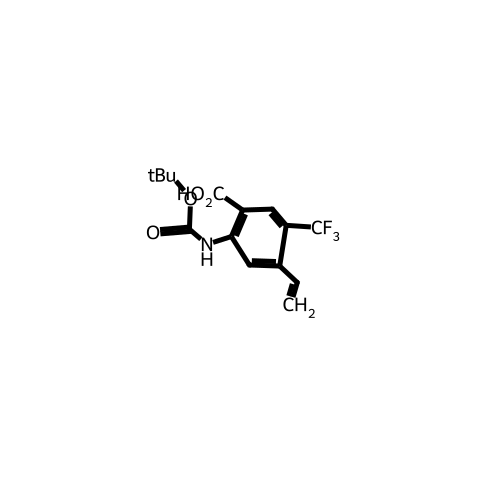 C=Cc1cc(NC(=O)OC(C)(C)C)c(C(=O)O)cc1C(F)(F)F